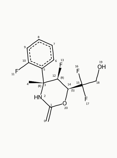 C=C1N[C@](C)(c2ccccc2F)[C@@H](F)[C@@H](C(F)(F)CO)O1